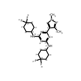 Cc1nn(C)cc1-c1nc(NC2CCC(F)(F)CC2)nc(NC2CCC(F)(F)CC2)n1